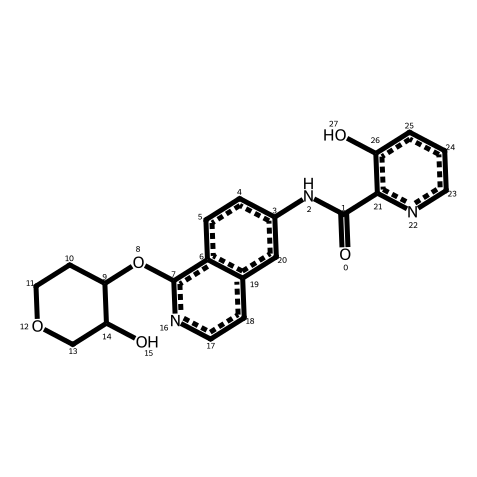 O=C(Nc1ccc2c(OC3CCOCC3O)nccc2c1)c1ncccc1O